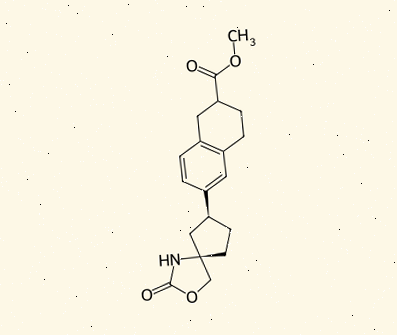 COC(=O)C1CCc2cc([C@H]3CC[C@]4(COC(=O)N4)C3)ccc2C1